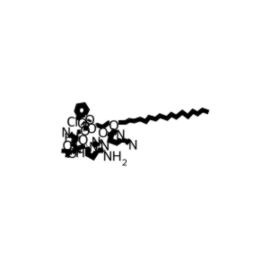 CCCCCCCCCCCCCCCCCCOCC(COP(=O)(OC[C@@]1(C#N)O[C@@H](c2ccc3c(N)ncnn23)[C@@H]2OC(C)(C)O[C@@H]21)Oc1ccccc1Cl)Oc1ccc(C#N)nc1